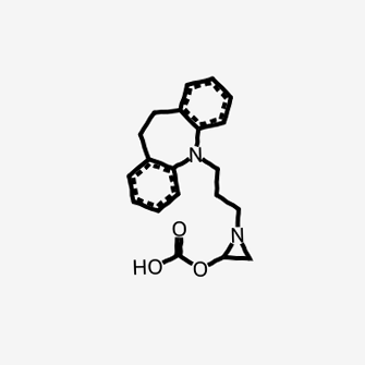 O=C(O)OC1CN1CCCN1c2ccccc2CCc2ccccc21